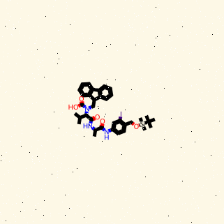 CC(NC(=O)C(C(C)C)N(CC1c2ccccc2-c2ccccc21)C(=O)O)C(=O)Nc1ccc(CO[Si](C)(C)C(C)(C)C)c(I)c1